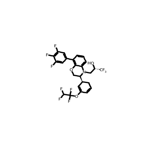 O[C@@H](CN1c2cccc(-c3cc(F)c(F)c(F)c3)c2OCC1[C@@H]1C=C(OC(F)(F)C(F)F)C=CC1)C(F)(F)F